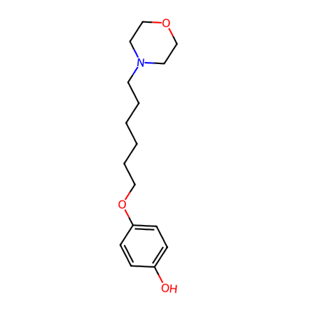 Oc1ccc(OCCCCCCN2CCOCC2)cc1